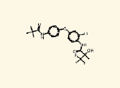 CC(C)(C)C(=O)Nc1ccc(Sc2ccc(NC(=O)C(C)(O)C(F)(F)F)c(Cl)c2)cc1